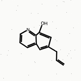 C=CCc1cc(O)c2ncccc2c1